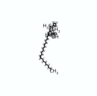 CCCCCCCC/C=C\CCCCCCCCCCCCC(C[N+](C)(C)C1CCC1)OP(=O)(O)O